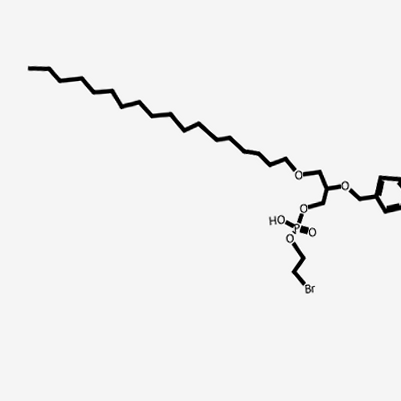 CCCCCCCCCCCCCCCCCCOCC(COP(=O)(O)OCCBr)OCc1ccccc1